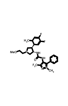 COCCN1C[C@@H](NC(=O)Nc2c(C(F)(F)F)nn(C)c2-c2ccccc2)[C@H](C2C=C(F)C(F)=CC2C)C1